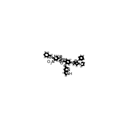 CC(C)c1ccccc1[C@@H]1CCCN1C1CC2(C1)CN(c1ccc(C(=O)NS(=O)(=O)c3cnc(NCC4CCCCC4)c([N+](=O)[O-])c3)c(Oc3cnc4[nH]ccc4c3)c1)C2